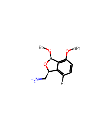 CCCOc1ccc(CC)c2c1B(OCC)O[C@@H]2CN